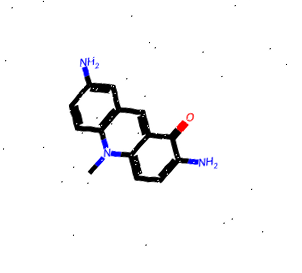 Cn1c2ccc(N)c(=O)c-2cc2cc(N)ccc21